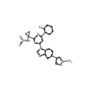 Cn1cc(-c2ccc3c(c2)ncn3-c2cc(-c3ccccc3F)nc(C3(N[SH](=O)=O)CC3)n2)cn1